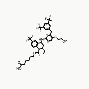 CC[C@@H]1C[C@H](Nc2ncc(OCCOC)c(Cc3cc(C(F)(F)F)cc(C(F)(F)F)c3)n2)c2cc(C(F)(F)F)ccc2N1C(=O)OCCCCCC(=O)O